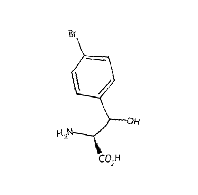 N[C@H](C(=O)O)C(O)c1ccc(Br)cc1